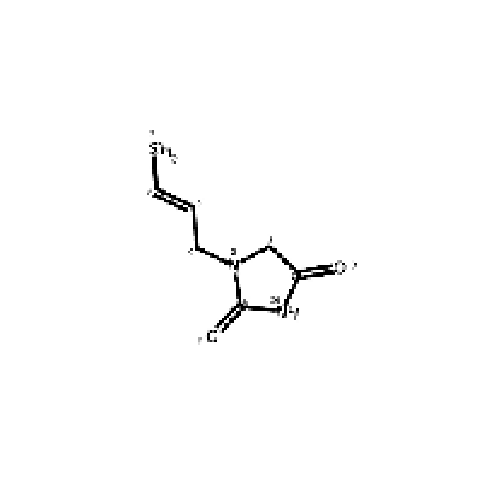 O=C1CN(CC=C[SiH3])C(=O)N1